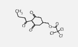 CCCC(=O)C1C(=O)CC(COC(=O)C(Cl)(Cl)Cl)CC1=O